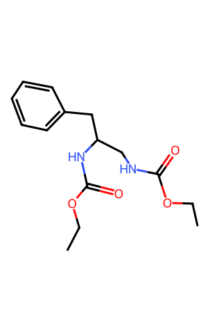 CCOC(=O)NCC(Cc1ccccc1)NC(=O)OCC